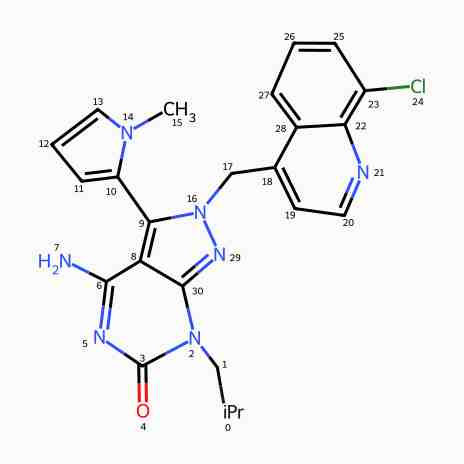 CC(C)Cn1c(=O)nc(N)c2c(-c3cccn3C)n(Cc3ccnc4c(Cl)cccc34)nc21